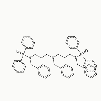 O=P(c1ccccc1)(c1ccccc1)N(CCCN(CCCN(Cc1ccccc1)P(=O)(c1ccccc1)c1ccccc1)Cc1ccccc1)Cc1ccccc1